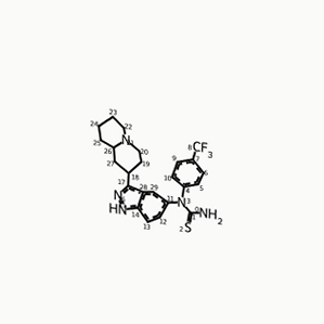 NC(=S)N(c1ccc(C(F)(F)F)cc1)c1ccc2[nH]nc(C3CCN4CCCCC4C3)c2c1